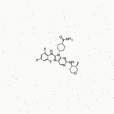 NC(=O)[C@H]1CC[C@H](n2c(Nc3c(F)cc(F)cc3F)nc3cnc(N[C@@H]4CCOC[C@@H]4F)nc32)CC1